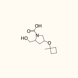 CC1(OC2CC(CO)N(C(=O)O)C2)CCC1